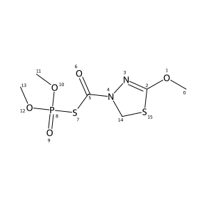 COC1=NN(C(=O)SP(=O)(OC)OC)CS1